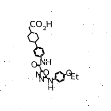 CCOc1ccc(Nc2nnc(C(=O)Nc3ccc(C4CCC(CC(=O)O)CC4)cc3)o2)cc1